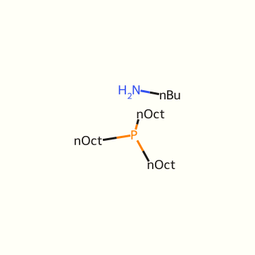 CCCCCCCCP(CCCCCCCC)CCCCCCCC.CCCCN